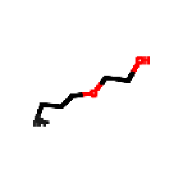 CC[CH]CCCOCCO